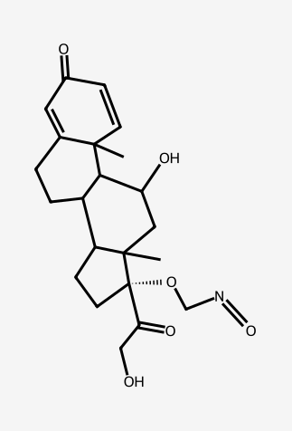 CC12C=CC(=O)C=C1CCC1C2C(O)CC2(C)C1CC[C@]2(OCN=O)C(=O)CO